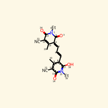 CCN1C(=O)C(=CC=Cc2c(C)c(C#N)c(=O)n(CC)c2O)C(C)=C(C#N)C1=O